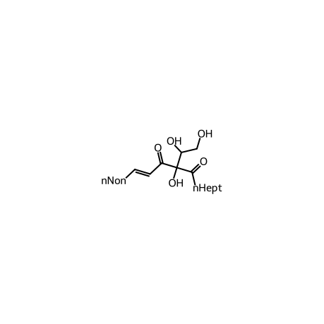 CCCCCCCCCC=CC(=O)C(O)(C(=O)CCCCCCC)C(O)CO